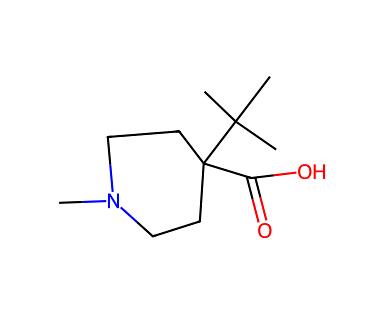 CN1CCC(C(=O)O)(C(C)(C)C)CC1